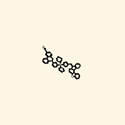 N#Cc1ccc2c(c1)-c1ccccc1C(c1cccc(S(c3ccccc3)(c3ccccc3)c3ccc(/C=C4/C5=C(CCC=C5)c5c4ccc4oc6ccccc6c54)cc3)c1)C2